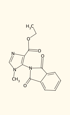 CCOC(=O)c1ncn(C)c1N1C(=O)c2ccccc2C1=O